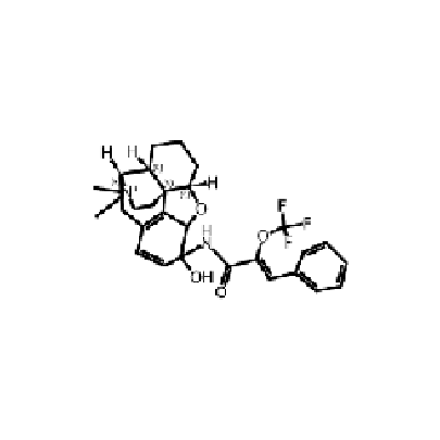 C[N+]1(C)CC[C@]23C4=C5C=CC(O)(NC(=O)C(=Cc6ccccc6)OC(F)(F)F)C4O[C@H]2CCC[C@H]3[C@H]1C5